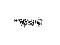 O=C(CC(=O)OCC12CC3CC(CC(C3)C1)C2)CC(=O)OC(F)(F)SOOO